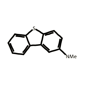 CNc1ccc2sc3ccccc3c2c1